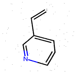 [C]=Cc1cccnc1